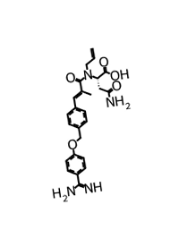 C=CCN(C(=O)/C(C)=C/c1ccc(COc2ccc(C(=N)N)cc2)cc1)[C@@H](CC(N)=O)C(=O)O